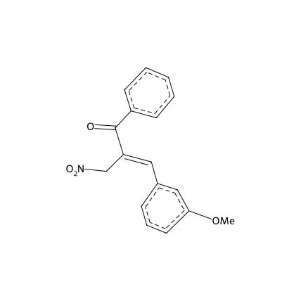 COc1cccc(/C=C(\C[N+](=O)[O-])C(=O)c2ccccc2)c1